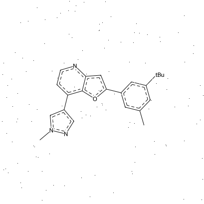 Cc1cc(-c2cc3nccc(-c4cnn(C)c4)c3o2)cc(C(C)(C)C)c1